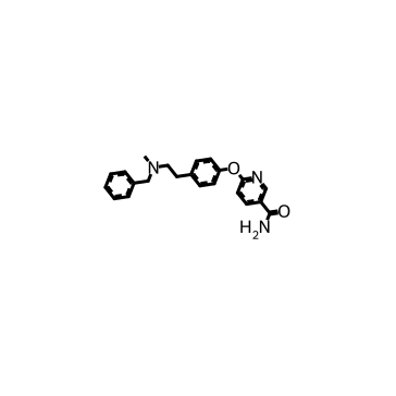 CN(CCc1ccc(Oc2ccc(C(N)=O)cn2)cc1)Cc1ccccc1